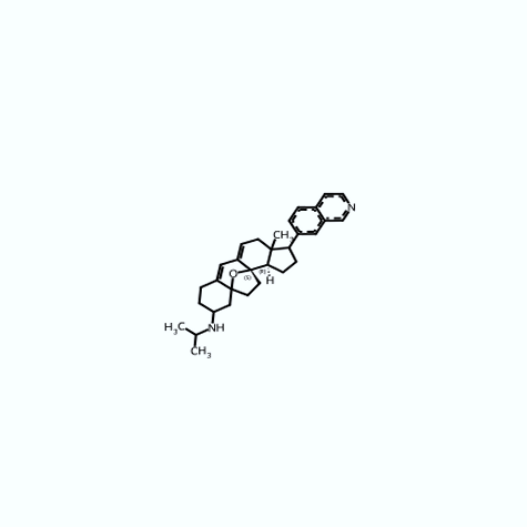 CC(C)NC1CCC2=CC3=CCC4(C)C(c5ccc6ccncc6c5)CC[C@H]4[C@@]34CCC2(C1)O4